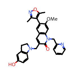 COc1cc2c(cc1-c1c(C)noc1C)cc(CN1CCc3cc(O)ccc31)c(=O)n2Cc1ccccn1